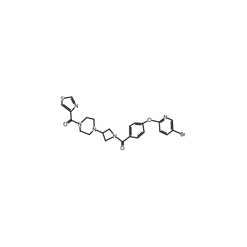 O=C(c1ccc(Oc2ccc(Br)cn2)cc1)N1CC(N2CCN(C(=O)c3cscn3)CC2)C1